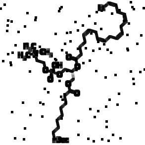 CC/C=C\C/C=C\C/C=C\C/C=C\C/C=C\CCCC(=O)O[C@H](COC(=O)CCCCCCCCCCCCCCCCC)COP(=O)(O)OCC[N+](C)(C)C